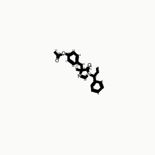 CCC(c1ccccc1)N1C=NC(C)(Cc2ccc(OC(C)=O)cc2)C1=O